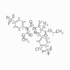 CCOC(=O)C1(C)C(=S)N(C(=O)N(C(=O)OC)c2ccc(C(F)(F)F)cc2)N=C1c1ccc(C(F)(F)F)c(Cl)c1